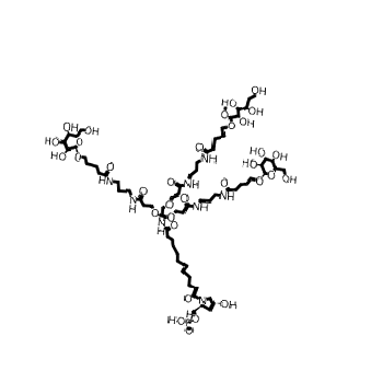 CO[C@@H](OCCCCC(=O)NCCCNC(=O)CCOCC(NC(=O)CCCCCCCCCCC(=O)N1C[C@H](O)C[C@H]1CO[PH](=O)O)(OCCC(=O)NCCCNC(=O)CCCCO[C@@H]1OC(CO)[C@H](O)C(O)[C@@H]1O)OCCC(=O)NCCCNC(=O)CCCCO[C@@H]1OC(CO)[C@H](O)C(O)[C@@H]1O)[C@@H](O)C(O)[C@@H](O)CCO